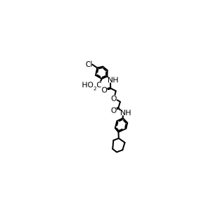 O=C(COCC(=O)Nc1ccc(Cl)cc1C(=O)O)Nc1ccc(C2CCCCC2)cc1